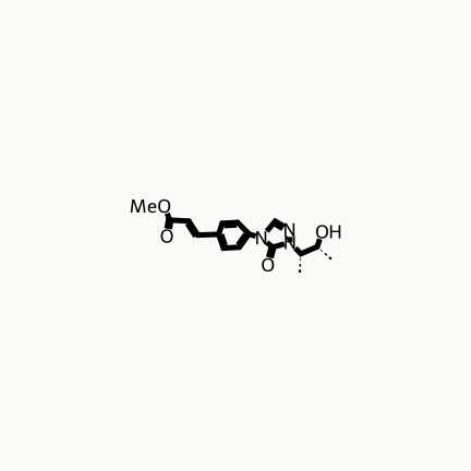 COC(=O)/C=C/c1ccc(-n2cnn([C@@H](C)[C@@H](C)O)c2=O)cc1